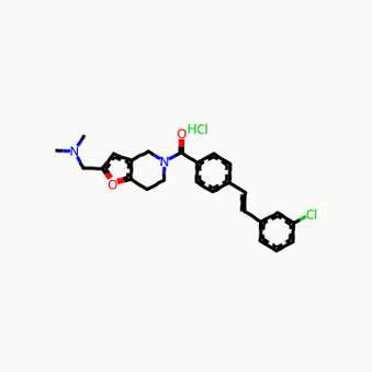 CN(C)Cc1cc2c(o1)CCN(C(=O)c1ccc(C=Cc3cccc(Cl)c3)cc1)C2.Cl